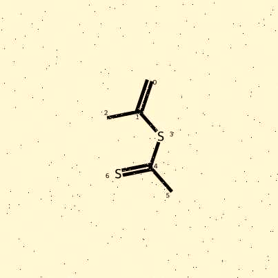 C=C(C)SC(C)=S